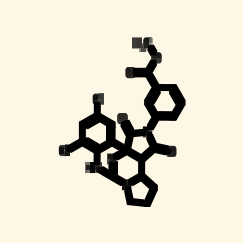 COC(=O)c1cccc(N2C(=O)C3C4CCCN4C4=NC3(C2=O)c2cc(Cl)cc(Cl)c2N4)c1